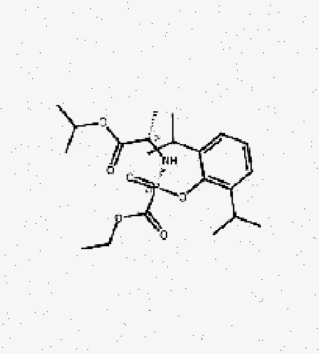 CCOC(=O)[P@](=O)(N[C@@H](C)C(=O)OC(C)C)Oc1c(C(C)C)cccc1C(C)C